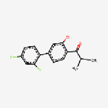 CC(C)C(=O)c1ccc(-c2ccc(F)cc2F)cc1O